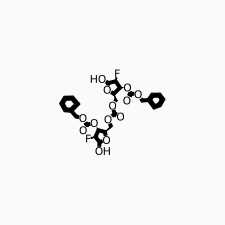 O=C(OC[C@H]1OC(O)[C@@H](F)[C@@H]1OC(=O)OCc1ccccc1)OC[C@H]1OC(O)[C@@H](F)[C@@H]1OC(=O)OCc1ccccc1